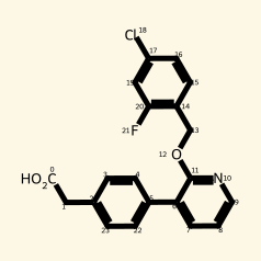 O=C(O)Cc1ccc(-c2cccnc2OCc2ccc(Cl)cc2F)cc1